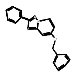 c1ccc(COc2ccn3nc(-c4ccccc4)nc3c2)cc1